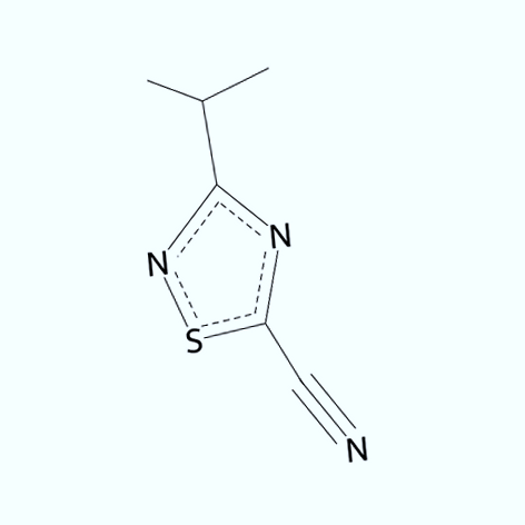 CC(C)c1nsc(C#N)n1